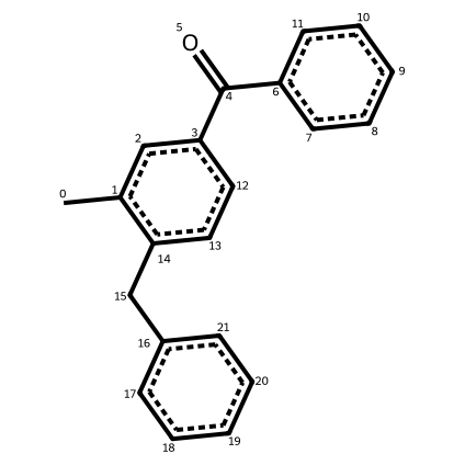 Cc1cc(C(=O)c2ccccc2)ccc1Cc1ccccc1